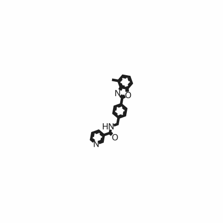 Cc1cccc2oc(-c3ccc(CNC(=O)c4cccnc4)cc3)nc12